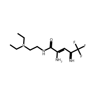 CCN(CC)CCNC(=O)/C(N)=C/C(=N)C(F)(F)F